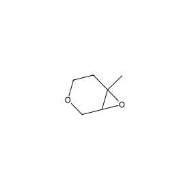 CC12CCOCC1O2